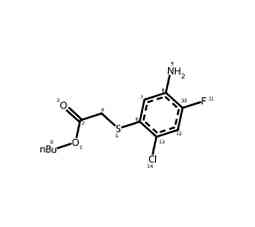 CCCCOC(=O)CSc1cc(N)c(F)cc1Cl